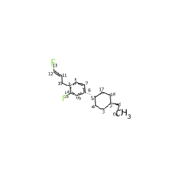 CC[C@H]1CC[C@H](c2ccc(CC=CF)c(F)c2)CC1